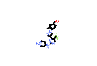 Cc1cc(C=O)ccc1-n1cc(-c2nc(NC3CCNCC3)ncc2C(F)(F)F)cn1